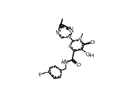 Cc1ncn(-c2nc(C(=O)NCc3ccc(F)cc3)c(O)c(=O)n2C)n1